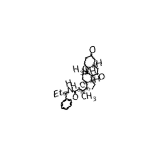 CC[C@@H](NC(=O)C[C@@H](C)[C@H]1CC[C@H]2[C@@H]3C(=O)C[C@@H]4CC(=O)CC[C@]4(C)[C@H]3CC[C@]12C)c1ccccc1